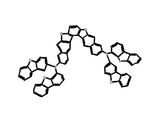 c1ccc2c(c1)oc1ccc(N(c3ccc4cc5c(cc4c3)oc3ccc4oc6cc7cc(N(c8ccc9oc%10ccccc%10c9c8)c8cccc9c8oc8ccccc89)ccc7cc6c4c35)c3cccc4c3oc3ccccc34)cc12